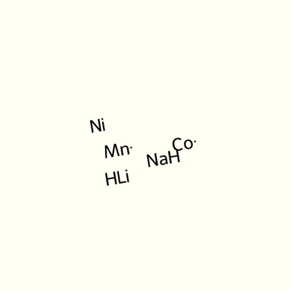 [Co].[LiH].[Mn].[NaH].[Ni]